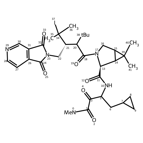 CNC(=O)C(=O)C(CC1CC1)NC(=O)[C@@H]1C2C(CN1C(=O)C([C@H](CN1C(=O)c3ccncc3C1=O)C(C)(C)I)C(C)(C)C)C2(C)C